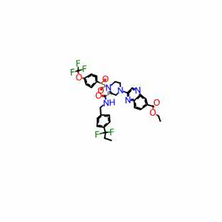 CCOC(=O)c1ccc2nc(N3CCN(S(=O)(=O)c4ccc(OC(F)(F)F)cc4)[C@@H](C(=O)NCc4ccc(C(F)(F)CC)cc4)C3)cnc2c1